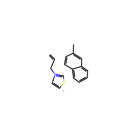 C=CC[n+]1ccsc1.Cc1ccc2ccccc2c1.[I-]